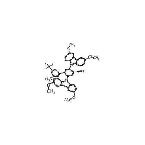 COc1ccc2c(c1)c1cc(OC)ccc1n2-c1cc(-c2cc(C)cc(C(F)(F)F)c2)c(-n2c3ccc(OC)cc3c3cc(OC)ccc32)cc1C#N